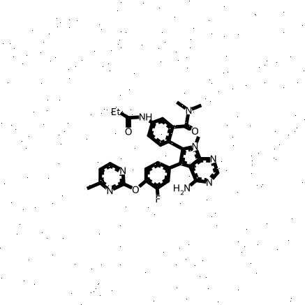 CCC(=O)Nc1ccc(-c2c(-c3ccc(Oc4nccc(C)n4)c(F)c3)c3c(N)ncnc3n2C)c(C(=O)N(C)C)c1